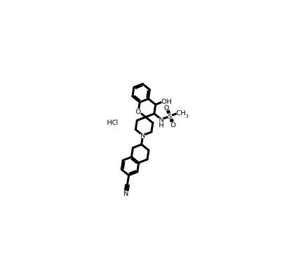 CS(=O)(=O)NC1C(O)c2ccccc2OC12CCN(C1CCc3cc(C#N)ccc3C1)CC2.Cl